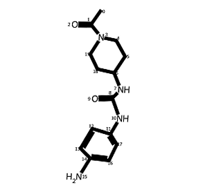 CC(=O)N1CCC(NC(=O)Nc2ccc(N)cc2)CC1